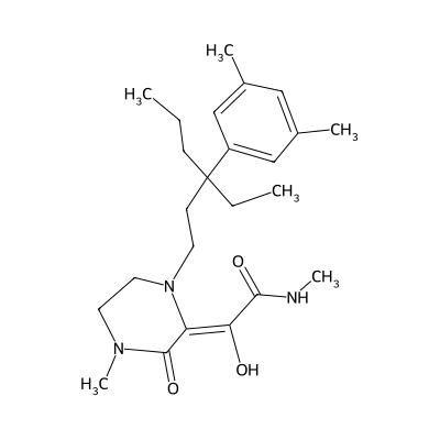 CCCC(CC)(CCN1CCN(C)C(=O)/C1=C(\O)C(=O)NC)c1cc(C)cc(C)c1